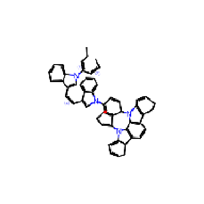 C/C=C\C(=C/CC)n1cc(/C=C\c2cn(C3=CCC(n4c5c(c6ccc7c(c64)N(C4=CCC=C4)C4=CC=CCC47)CCC=C5)C=C3)c3ccccc23)c2ccccc21